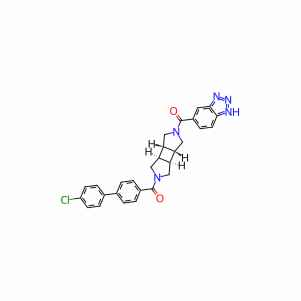 O=C(c1ccc(-c2ccc(Cl)cc2)cc1)N1C[C@@H]2[C@H](C1)[C@H]1CN(C(=O)c3ccc4[nH]nnc4c3)C[C@@H]21